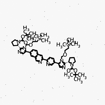 CC(C)(C)OC(=O)N1CCC[C@H]1c1ncc(-c2ccc(-c3cc4ccc(-c5cnc([C@@H]6CCCN6C(=O)OC(C)(C)C)n5COCC[Si](C)(C)C)cc4cn3)nc2)n1COCC[Si](C)(C)C